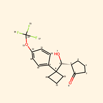 O=C1CCC[C@H]1C(O)C1(c2ccc(OC(F)(F)F)cc2)CCC1